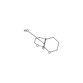 OC1COC23OCCCC2(CCCO3)C1